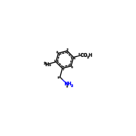 [2H]c1ccc(C(=O)O)cc1CN